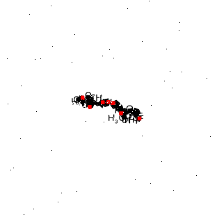 Cn1c(=O)n(C2CCC(=O)NC2=O)c2cccc(CCC3CC4(CCN(C[C@H]5CC[C@H](n6cc7cc(NC(=O)c8cccc(OC(F)(F)F)n8)c(C(C)(C)O)cc7n6)CC5)CC4)C3)c21